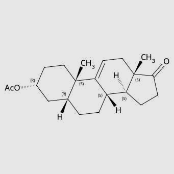 CC(=O)O[C@@H]1CC[C@]2(C)C3=CC[C@]4(C)C(=O)CC[C@H]4[C@@H]3CC[C@@H]2C1